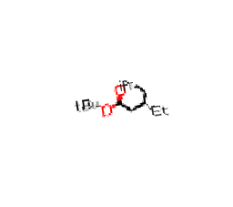 CC[C@H](CC(=O)OC(C)(C)C)CC(C)C